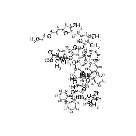 C=CCOCC=C[C@H]1CC(=C)[C@H](CC[C@H]2C[C@@H](C)C(=C)[C@@H](C[C@@H]3O[C@H](C[C@H]4CN(C(=O)C(C)(C)C)C(C)(C)O4)[C@H](OC)[C@H]3[C@@H](C(O)C[C@H]3CC[C@@H]4O[C@@H]5[C@@H](O[C@H](CC(C=C)O[Si](CC)(CC)CC)[C@@H]5O[Si](c5ccccc5)(c5ccccc5)C(C)(C)C)[C@@H](O[Si](c5ccccc5)(c5ccccc5)C(C)(C)C)[C@H]4O3)S(=O)(=O)c3ccccc3)O2)O1